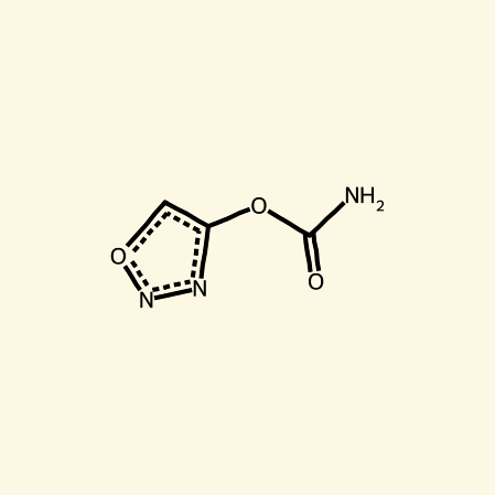 NC(=O)Oc1conn1